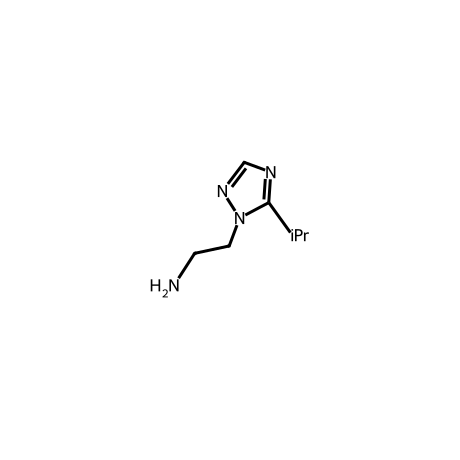 CC(C)c1ncnn1CCN